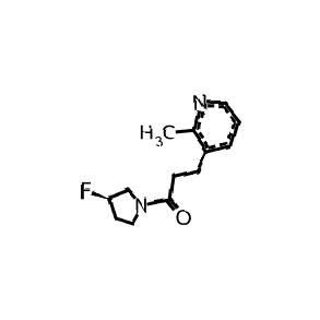 Cc1ncccc1CCC(=O)N1CC[C@@H](F)C1